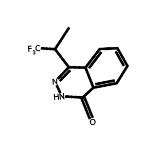 CC(c1n[nH]c(=O)c2ccccc12)C(F)(F)F